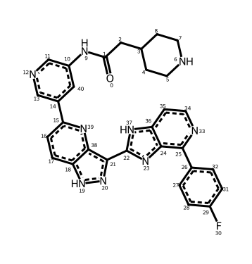 O=C(CC1CCNCC1)Nc1cncc(-c2ccc3[nH]nc(-c4nc5c(-c6ccc(F)cc6)nccc5[nH]4)c3n2)c1